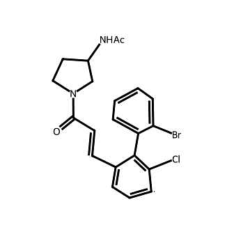 CC(=O)NC1CCN(C(=O)/C=C/c2cc[c]c(Cl)c2-c2ccccc2Br)C1